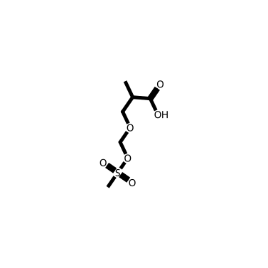 CC(COCOS(C)(=O)=O)C(=O)O